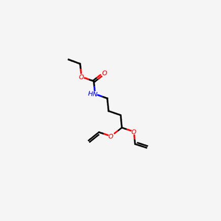 C=COC(CCCNC(=O)OCC)OC=C